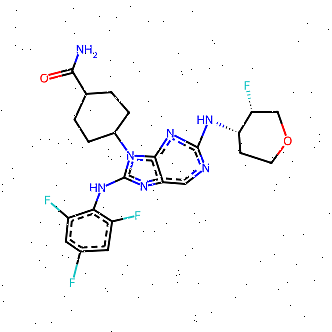 NC(=O)C1CCC(n2c(Nc3c(F)cc(F)cc3F)nc3cnc(N[C@H]4CCOC[C@H]4F)nc32)CC1